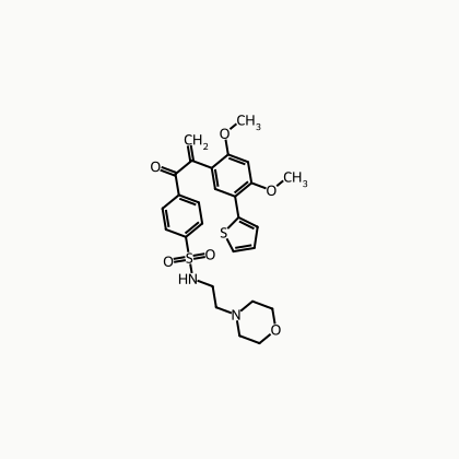 C=C(C(=O)c1ccc(S(=O)(=O)NCCN2CCOCC2)cc1)c1cc(-c2cccs2)c(OC)cc1OC